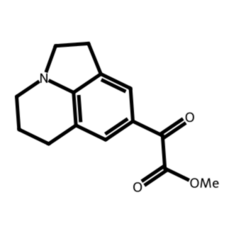 COC(=O)C(=O)c1cc2c3c(c1)CCN3CCC2